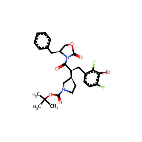 CC(C)(C)OC(=O)N1CC[C@H]([C@H](Cc2ccc(F)c(Br)c2F)C(=O)N2C(=O)OC[C@@H]2Cc2ccccc2)C1